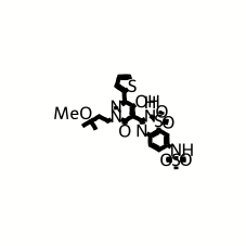 COC(C)(C)CCn1nc(-c2cccs2)c(O)c(C2=Nc3ccc(NS(C)(=O)=O)cc3S(=O)(=O)N2)c1=O